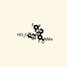 CNC(=O)c1cc(-c2cccnc2[C@H](Cc2cc(F)cc(F)c2)NC(=O)Cn2nc(C(=O)O)cc2C(C)C)ccc1F